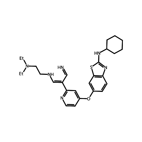 CCN(CC)CCN/C=C(\C=N)c1cc(Oc2ccc3nc(NC4CCCCC4)sc3c2)ccn1